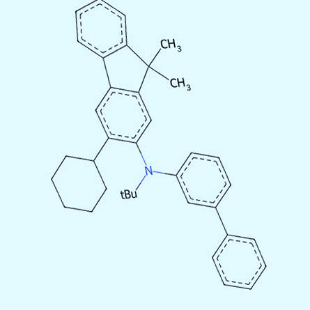 CC1(C)c2ccccc2-c2cc(C3CCCCC3)c(N(c3cccc(-c4ccccc4)c3)C(C)(C)C)cc21